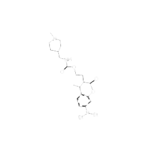 CCN(CC)c1ccc2c(c1)OC(=O)C(CCOC(=O)NCC1CCN(C)CC1)C2C